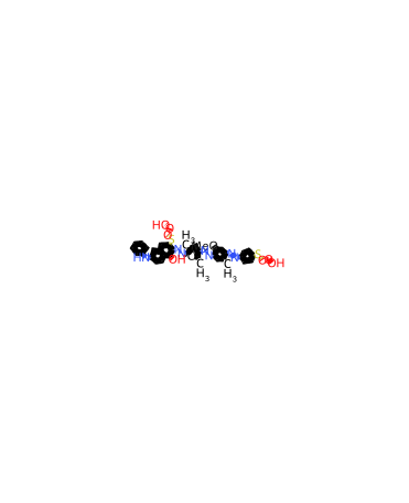 COc1cc(N=Nc2ccc(SOOO)cc2)c(C)cc1N=Nc1cc(C)c(N=Nc2c(SOOO)cc3cc(Nc4ccccc4)ccc3c2O)cc1C